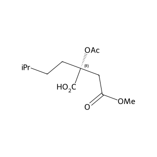 COC(=O)C[C@@](CCC(C)C)(OC(C)=O)C(=O)O